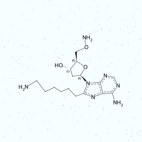 NCCCCCCc1nc2c(N)ncnc2n1[C@H]1C[C@H](O)[C@@H](CON)O1